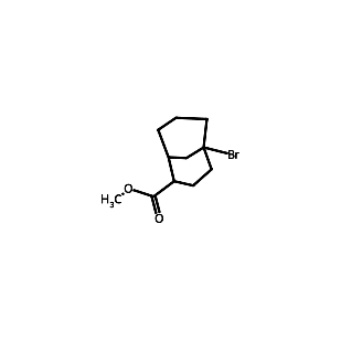 COC(=O)C1CCC2(Br)CCCC1C2